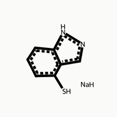 Sc1cccc2[nH]ncc12.[NaH]